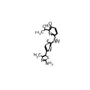 Cc1nc(N)sc1-c1csc(Nc2ccc(Cl)c(C(C)C)n2)n1